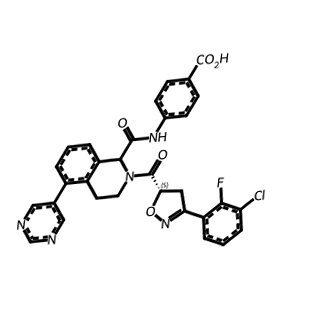 O=C(O)c1ccc(NC(=O)C2c3cccc(-c4cncnc4)c3CCN2C(=O)[C@@H]2CC(c3cccc(Cl)c3F)=NO2)cc1